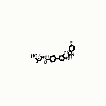 C=C(C)C[C@H](NC(=O)c1ccc(-c2ccc(Nc3nc4ccc(F)cc4s3)c(F)c2)cc1)C(=O)O